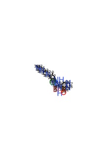 Cc1cc(Nc2ncc(Br)c(Nc3ccc4nccnc4c3P(C)(C)=O)n2)c(Cl)cc1N1CCC(N2CCN(C)CC2)CC1